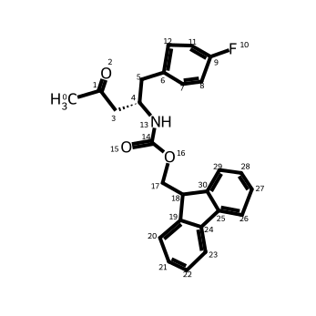 CC(=O)C[C@H](Cc1ccc(F)cc1)NC(=O)OCC1c2ccccc2-c2ccccc21